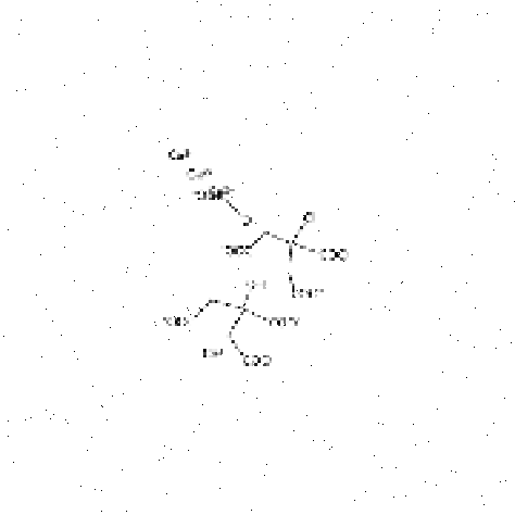 O=C([O-])CC(O)(CC(=O)[O-])C(=O)[O-].O=C([O-])CC(O)(CC(=O)[O-])C(=O)[O-].O=C([O-])[O-].[Ca+2].[Ca+2].[Ca+2].[Ca+2]